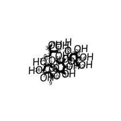 C[C@H](OC(OC(CO)[C@H](C)OC1OC(CO)C(OC2OC(CO)C(O)C(O)C2O)C(O)C1O)[C@@H](O)CO)C(CO)CO